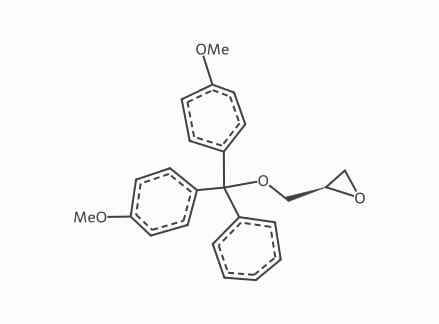 COc1ccc(C(OC[C@H]2CO2)(c2ccccc2)c2ccc(OC)cc2)cc1